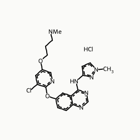 CNCCCOc1cnc(Oc2ccc3ncnc(Nc4ccn(C)n4)c3c2)c(Cl)c1.Cl